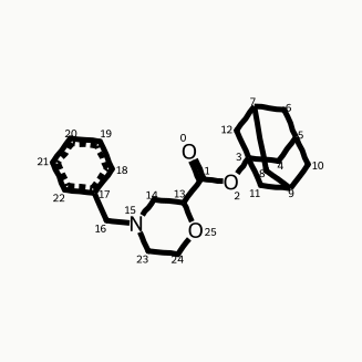 O=C(OC12CC3CC(CC(C3)C1)C2)C1CN(Cc2ccccc2)CCO1